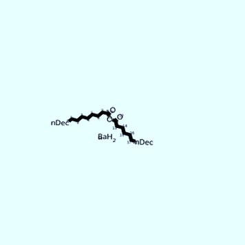 CCCCCCCCCCCCCCCCCC(=O)OC(=O)CCCCCCCCCCCCCCC.[BaH2]